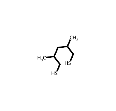 CC(CS)CC(C)CS